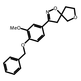 COc1cc(C2=NOC3(CCOC3)C2)ccc1OCc1ccccc1